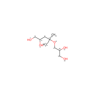 CC(C)(CC(O)CO)OCC(O)CO